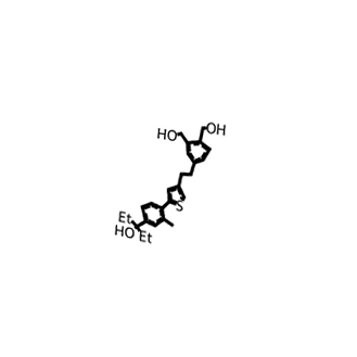 CCC(O)(CC)c1ccc(-c2cc(CCc3ccc(CO)c(CO)c3)cs2)c(C)c1